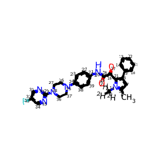 [2H]C([2H])([2H])n1c(C)cc(-c2ccccc2)c1C(=O)C(=O)Nc1ccc(N2CCN(c3ncc(F)cn3)CC2)cc1